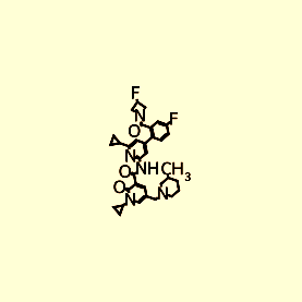 C[C@H]1CCCN(Cc2cc(C(=O)Nc3cc(-c4ccc(F)cc4C(=O)N4CC(F)C4)cc(C4CC4)n3)c(=O)n(C3CC3)c2)C1